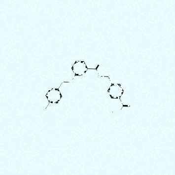 COC(=O)c1ccc([C@H](C)NC(=O)c2cccc(OCc3ccc(Cl)cc3)n2)cc1